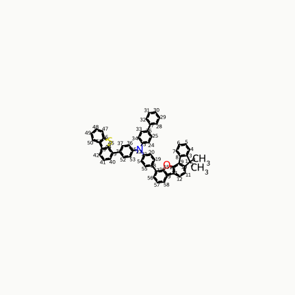 CC1(C)c2ccccc2-c2c1ccc1c2oc2c(-c3ccc(N(c4ccc(-c5ccccc5)cc4)c4ccc(-c5cccc6c5sc5ccccc56)cc4)cc3)cccc21